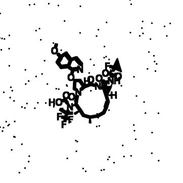 COc1ccc2c(O[C@@H]3C[C@H]4C(=O)N[C@]5(C(=O)NS(=O)(=O)C6(F)CC6)C[C@H]5C=CCC[C@@H](C)C[C@@H](C)[C@H](N(C(=O)O)C(C)(C)C(F)(F)F)C(=O)N4C3)nccc2c1